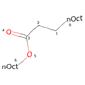 [CH2]CCCCCCCCCC(=O)OCCCCCCCC